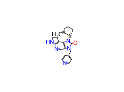 C[C@@H]1CCCC[C@@H]1n1c(=O)n(Cc2ccncc2)c2cnc3[nH]ccc3c21